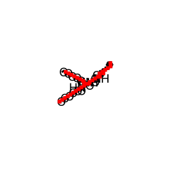 COCCOCCOCCOCCOCC(=O)NCCC[C@H](NC(=O)COCCOCCOCCOCCOC)C(=O)NCCC(=O)ONC(=O)Cc1ccc(CCCCc2ccccc2)cc1